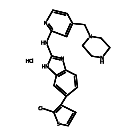 Cl.Clc1sccc1-c1ccc2nc(Nc3cc(CN4CCNCC4)ccn3)[nH]c2c1